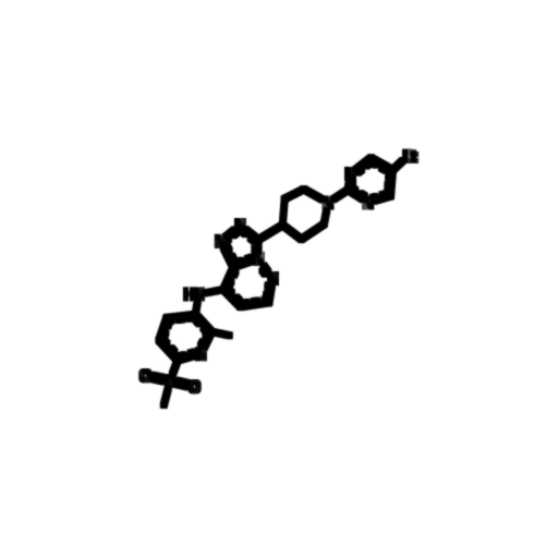 CCc1cnc(N2CCC(c3nnc4c(Nc5ccc(S(C)(=O)=O)nc5C)ccnn34)CC2)nc1